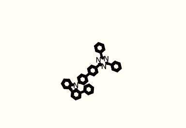 c1ccc(-c2nc(-c3ccccc3)nc(-c3ccc(-c4ccc(-n5c6ccccc6c6cccc(-c7ccccc7)c65)cc4)cc3)n2)cc1